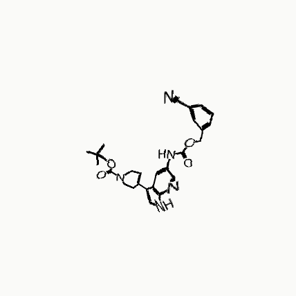 CC(C)(C)OC(=O)N1CC=C(c2c[nH]c3ncc(NC(=O)OCc4cccc(C#N)c4)cc23)CC1